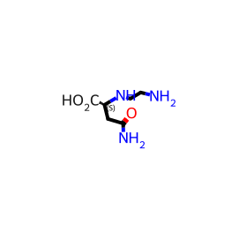 NCCN[C@@H](CC(N)=O)C(=O)O